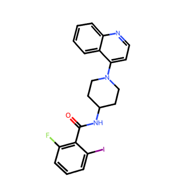 O=C(NC1CCN(c2ccnc3ccccc23)CC1)c1c(F)cccc1I